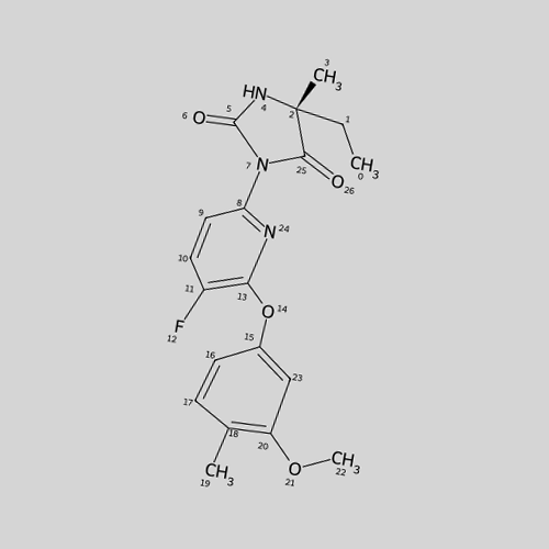 CC[C@@]1(C)NC(=O)N(c2ccc(F)c(Oc3ccc(C)c(OC)c3)n2)C1=O